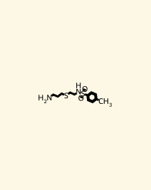 Cc1ccc(S(=O)(=O)NCCSCCCN)cc1